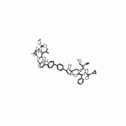 C#C[C@H](COC)CN(Cc1ncc(-c2ccc(-c3ccc(-c4cnc(CN(C(=O)[C@@H](NC(=O)OC)C(C)C)C5[C@@H](C)[C@H]5C)[nH]4)cc3)cc2)[nH]1)C(=O)[C@H](NC(=O)C1CC1)c1ccccc1